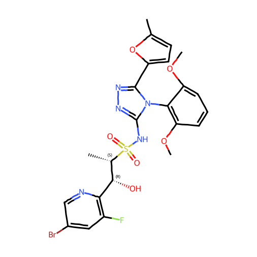 COc1cccc(OC)c1-n1c(NS(=O)(=O)[C@@H](C)[C@H](O)c2ncc(Br)cc2F)nnc1-c1ccc(C)o1